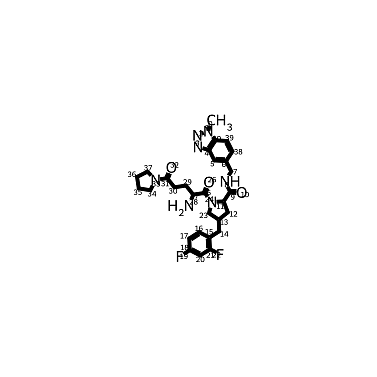 Cn1nnc2cc(CNC(=O)C3CC(Cc4ccc(F)cc4F)CN3C(=O)C(N)CCC(=O)N3CCCC3)ccc21